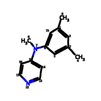 Cc1cc(C)cc(N(C)c2ccncc2)c1